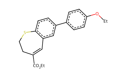 CCOC(=O)C1=Cc2cc(-c3ccc(OCC)cc3)ccc2SCC1